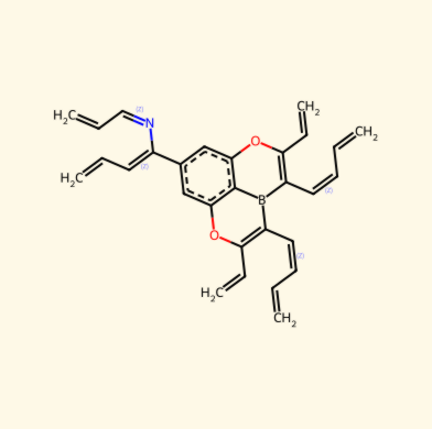 C=C/C=C\C1=C(C=C)Oc2cc(C(=C/C=C)/N=C\C=C)cc3c2B1C(/C=C\C=C)=C(C=C)O3